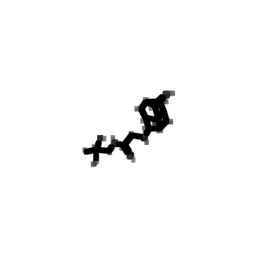 CC(F)(F)COC(=O)COC1C2CC3CC(C2)C(=O)OC1C3